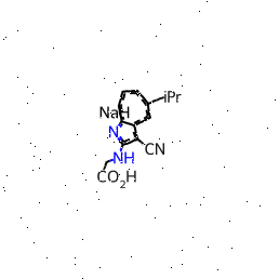 CC(C)c1cccc2nc(NCC(=O)O)c(C#N)c-2c1.[NaH]